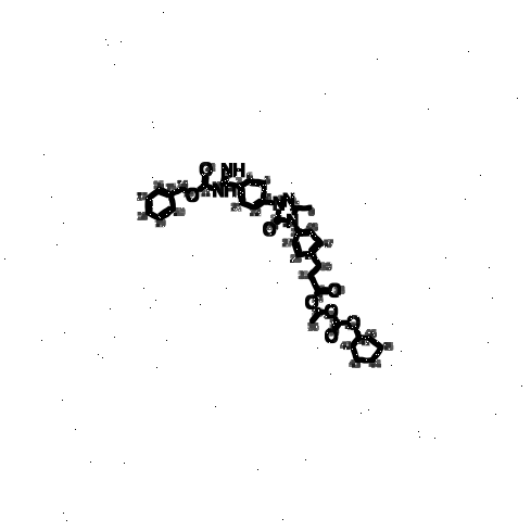 Cc1nn(-c2ccc(C(=N)NC(=O)OCc3ccccc3)cc2)c(=O)n1-c1ccc(CCC(=O)OC(C)OC(=O)OC2CCCCC2)cc1